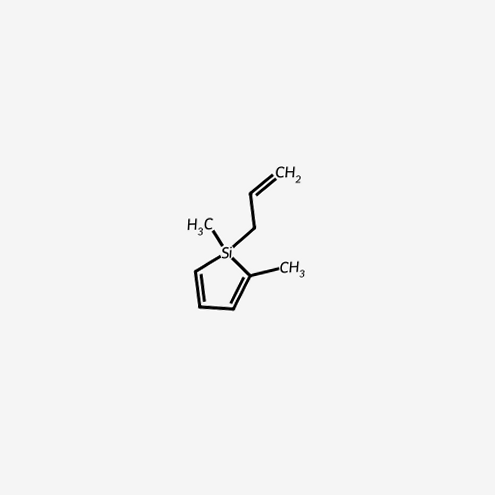 C=CC[Si]1(C)C=CC=C1C